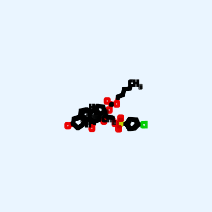 CCCCCOC(=O)O[C@]1(C(=O)COS(=O)(=O)c2ccc(Cl)cc2)CC[C@H]2[C@@H]3CCC4=CC(=O)CC[C@]4(C)[C@H]3C(=O)C[C@@]21C